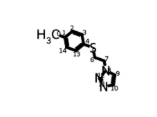 Cc1ccc(SCCn2ccnn2)cc1